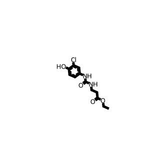 CCOC(=O)CCNC(=O)Nc1ccc(O)c(Cl)c1